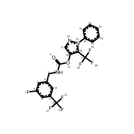 O=C(NCc1cc(F)cc(C(F)(F)F)c1)Oc1cnn(-c2ccccc2)c1C(F)(F)F